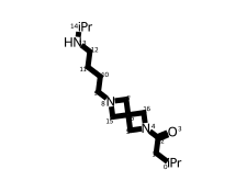 CC(C)CC(=O)N1CC2(CN(CCCCNC(C)C)C2)C1